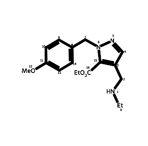 CCNCc1cnn(Cc2ccc(OC)cc2)c1C(=O)OCC